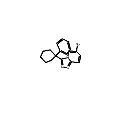 Brc1ccc2nnc(C3(c4ccccc4)CCCCC3)n2c1